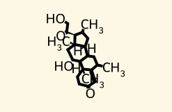 CC1C[C@@H]2[C@H]([C@@H](O)C[C@]3(C)[C@@H](C(=O)CO)C(C)C[C@@H]23)[C@@]2(C)CCC(=O)C=C12